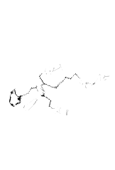 CSCCCCC(CO)N(Cc1ccccc1)C(=O)CCS